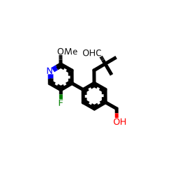 COc1cc(-c2ccc(CO)cc2CC(C)(C)C=O)c(F)cn1